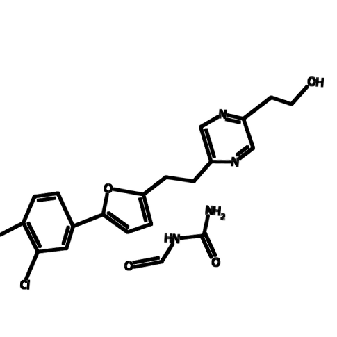 NC(=O)NC=O.OCCc1cnc(CCc2ccc(-c3ccc(Cl)c(Cl)c3)o2)cn1